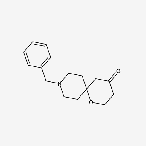 O=C1CCOC2(CCN(Cc3ccccc3)CC2)C1